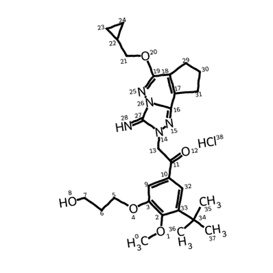 COc1c(OCCCO)cc(C(=O)Cn2nc3c4c(c(OCC5CC5)nn3c2=N)CCC4)cc1C(C)(C)C.Cl